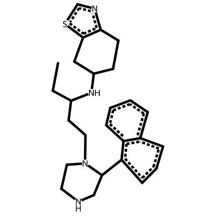 CCC(CCN1CCNCC1c1cccc2ccccc12)NC1CCc2ncsc2C1